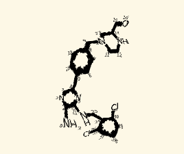 Nc1ncc(-c2ccc(CN3CCNC(C=O)C3)cc2)nc1NCc1c(Cl)cccc1Cl